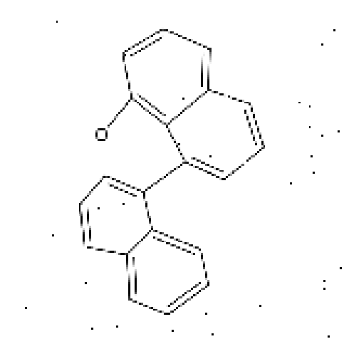 [O]c1cccc2cccc(-c3cccc4ccccc34)c12